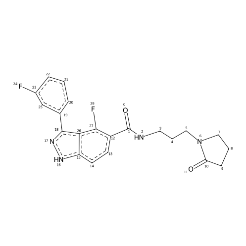 O=C(NCCCN1CCCC1=O)c1ccc2[nH]nc(-c3cccc(F)c3)c2c1F